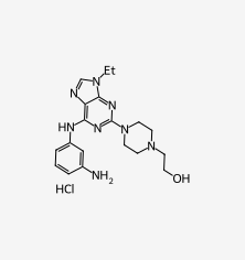 CCn1cnc2c(Nc3cccc(N)c3)nc(N3CCN(CCO)CC3)nc21.Cl